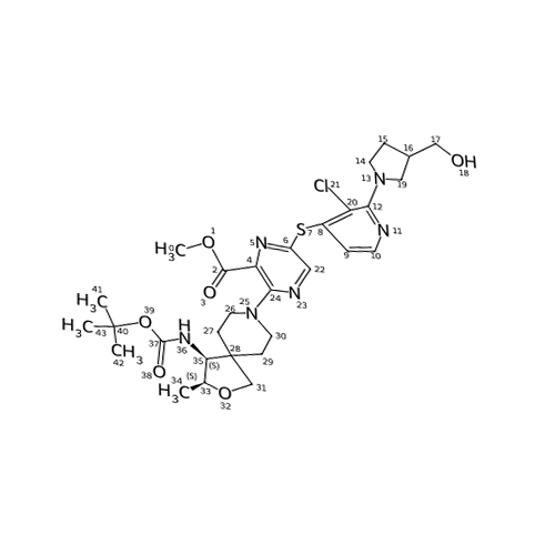 COC(=O)c1nc(Sc2ccnc(N3CCC(CO)C3)c2Cl)cnc1N1CCC2(CC1)CO[C@@H](C)[C@H]2NC(=O)OC(C)(C)C